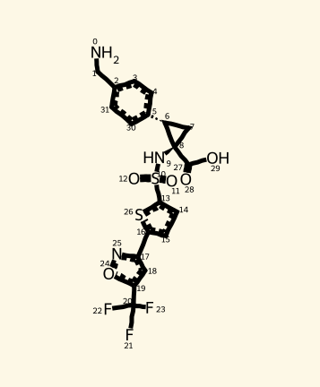 NCc1ccc([C@@H]2C[C@]2(NS(=O)(=O)c2ccc(-c3cc(C(F)(F)F)on3)s2)C(=O)O)cc1